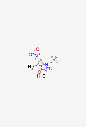 CCn1c(=O)c2c(C)c(CN3CCOCC3=O)sc2n(CCC(F)(F)F)c1=O